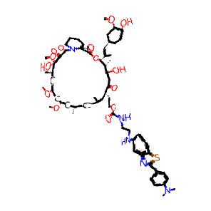 CO[C@@H]1C[C@@H](OC)C[C@@H](C)C/C(C)=C/[C@@H](CCOC(=O)NCCNc2ccc3sc(-c4ccc(N(C)C)cc4)nc3c2)C(=O)C[C@H](O)[C@@H](C)[C@@H](/C(C)=C/[C@@H]2CC[C@@H](O)[C@H](OC)C2)OC(=O)[C@@H]2CCCCN2C(=O)C(=O)[C@](O)(OC)[C@H](C)C1